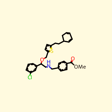 COC(=O)c1ccc(CNCC(OCc2ccc(CCC3C=CC=CC3)s2)c2cccc(Cl)c2)cc1